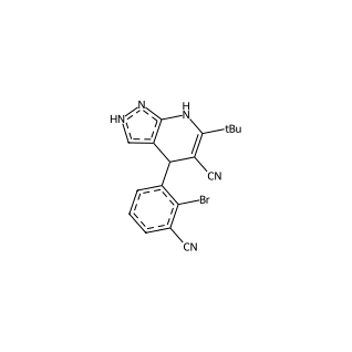 CC(C)(C)C1=C(C#N)C(c2cccc(C#N)c2Br)c2c[nH]nc2N1